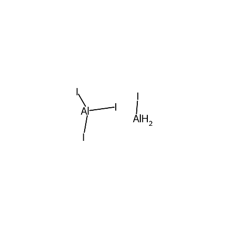 [AlH2][I].[I][Al]([I])[I]